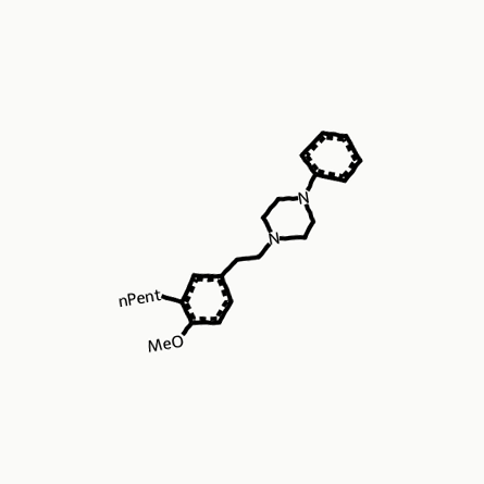 CCCCCc1cc(CCN2CCN(c3ccccc3)CC2)ccc1OC